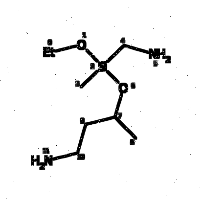 CCO[Si](C)(CN)OC(C)CCN